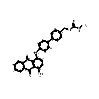 CNC(=O)OCc1ccc(-c2ccc(Nc3ccc(O)c4c3C(=O)c3ccccc3C4=O)cc2)cc1